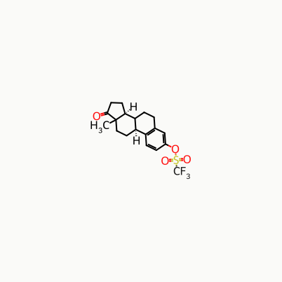 CC12CC[C@@H]3c4ccc(OS(=O)(=O)C(F)(F)F)cc4CCC3[C@@H]1CCC2=O